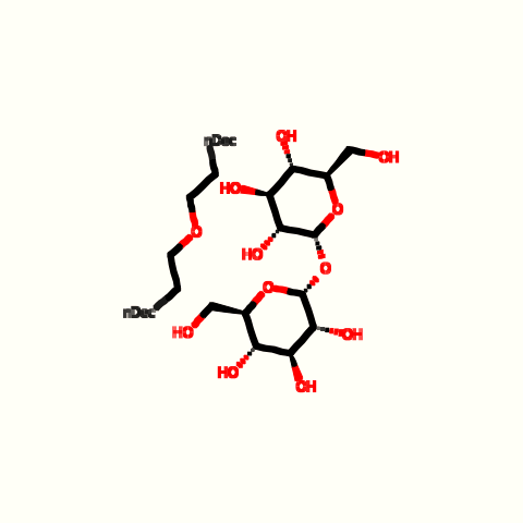 CCCCCCCCCCCCOCCCCCCCCCCCC.OC[C@H]1O[C@H](O[C@H]2O[C@H](CO)[C@@H](O)[C@H](O)[C@H]2O)[C@H](O)[C@@H](O)[C@@H]1O